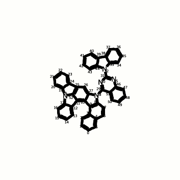 c1ccc2c(c1)ccc1c2c2c3c4ccccc4n4c5ccccc5c(cc2n1-c1nc(-n2c5ccccc5c5ccccc52)nc2ccccc12)c34